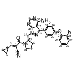 N#CC(=CC1CC1)C(=O)N1CCC[C@@H]1Cn1nc(-c2ccc(Oc3ccccc3F)cc2)c2c(N)ncnc21